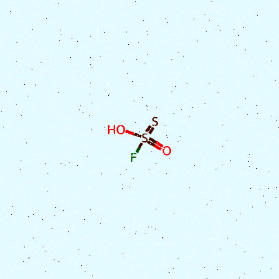 O=S(O)(F)=S